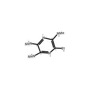 CCc1nc(NC)c(NC)nc1NC